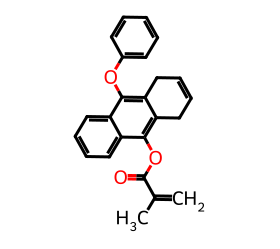 C=C(C)C(=O)Oc1c2c(c(Oc3ccccc3)c3ccccc13)CC=CC2